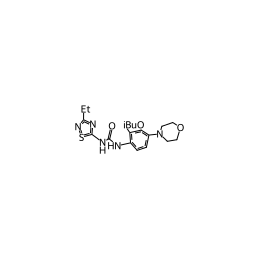 CCc1nsc(NC(=O)Nc2ccc(N3CCOCC3)cc2OCC(C)C)n1